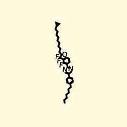 CCCCCCCc1ccc(-c2cnc(-c3ccc4c(c3F)C(F)(F)C(CCCCCCCCCC3CC3)O4)nc2)cc1